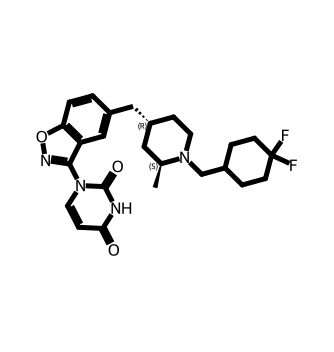 C[C@H]1C[C@H](Cc2ccc3onc(-n4ccc(=O)[nH]c4=O)c3c2)CCN1CC1CCC(F)(F)CC1